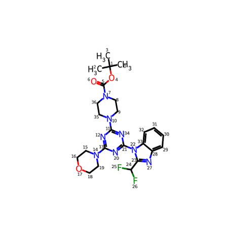 CC(C)(C)OC(=O)N1CCN(c2nc(N3CCOCC3)nc(-n3c(C(F)F)nc4ccccc43)n2)CC1